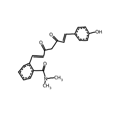 CN(C)C(=O)c1ccccc1/C=C/C(=O)CC(=O)/C=C/c1ccc(O)cc1